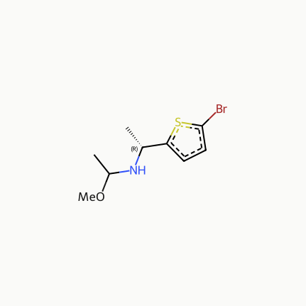 COC(C)N[C@H](C)c1ccc(Br)s1